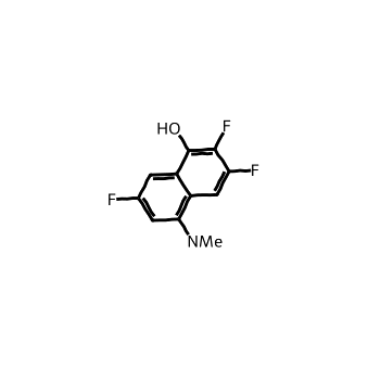 CNc1cc(F)cc2c(O)c(F)c(F)cc12